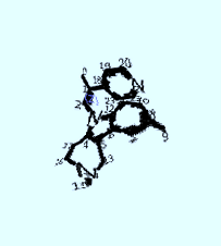 C/C(=C/n1c2c(c3cc(C)ccc31)CN(C)CC2)c1ccncc1